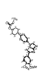 COc1ccc(-c2nn3c(-c4cnc(N5CCN(OC(=O)OC(C)(C)C)CC5)nc4)cnc3s2)cc1OC